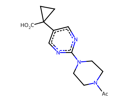 CC(=O)N1CCN(c2ncc(C3(C(=O)O)CC3)cn2)CC1